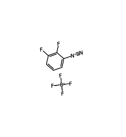 F[B-](F)(F)F.N#[N+]c1cccc(F)c1F